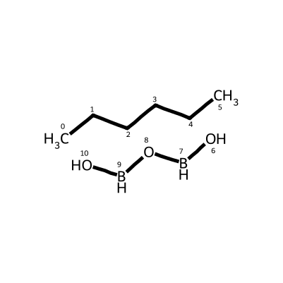 CCCCCC.OBOBO